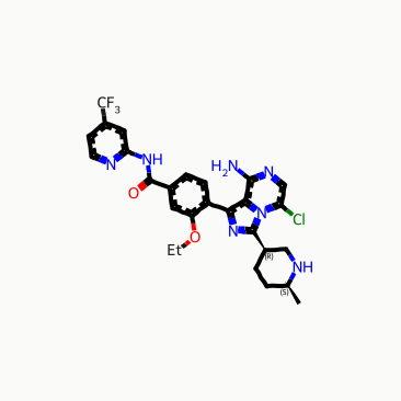 CCOc1cc(C(=O)Nc2cc(C(F)(F)F)ccn2)ccc1-c1nc([C@@H]2CC[C@H](C)NC2)n2c(Cl)cnc(N)c12